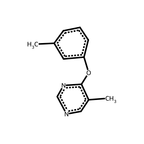 Cc1cccc(Oc2ncncc2C)c1